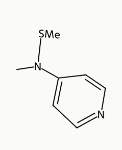 CSN(C)c1ccncc1